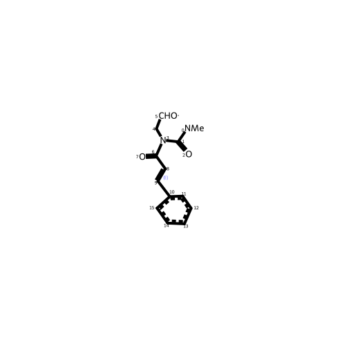 CNC(=O)N(C[C]=O)C(=O)/C=C/c1ccccc1